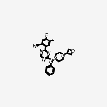 Cc1cc(-c2ncnc(N(c3ccccc3)N3CCN(C4COC4)CC3)n2)c(C#N)cc1F